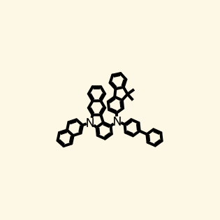 CC1(C)c2ccccc2-c2ccc(N(c3ccc(-c4ccccc4)cc3)c3cccc4c3c3cc5ccccc5cc3n4-c3ccc4ccccc4c3)cc21